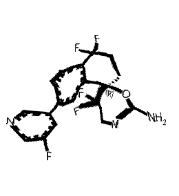 NC1=NCC(F)(F)[C@]2(CCC(F)(F)c3ccc(-c4cncc(F)c4)cc32)O1